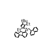 CCC1=[C](/[Zr](=[CH]/c2cccc3ccccc23)[c]2cccc3c2Cc2ccccc2-3)C(CC)C=C1C(C)(C)C